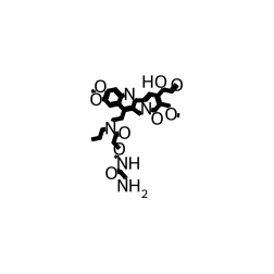 CCCN(CCc1c2c(nc3cc4c(cc13)OCO4)-c1cc(C(O)C=O)c(COC)c(=O)n1C2)C(=O)COCNC(=O)CN